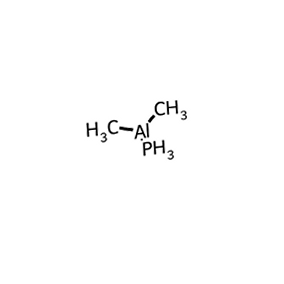 P.[CH3][Al][CH3]